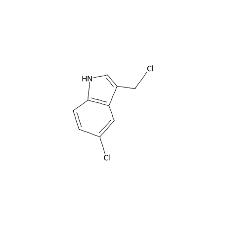 ClCc1c[nH]c2ccc(Cl)cc12